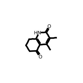 Cc1c2c([nH]c(=O)c1C)CCCC2=O